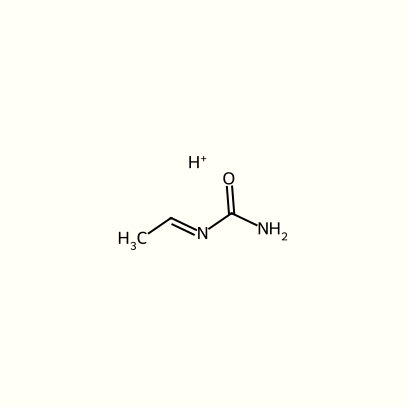 CC=NC(N)=O.[H+]